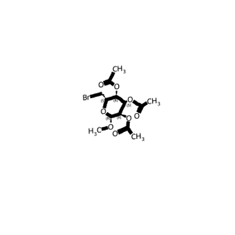 CO[C@@H]1O[C@H](CBr)[C@H](OC(C)=O)[C@H](OC(C)=O)[C@H]1OC(C)=O